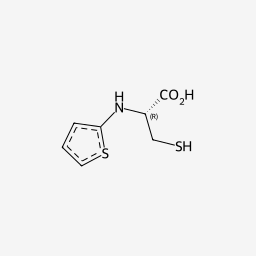 O=C(O)[C@H](CS)Nc1cccs1